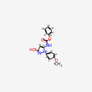 COc1ccc(-n2nc(O)cc2NC(=O)Oc2ccccc2)cc1